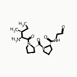 CC[C@H](C)[C@H](N)C(=O)N1CCC[C@H]1C(=O)N1CCC[C@H]1C(=O)NC[C]=O